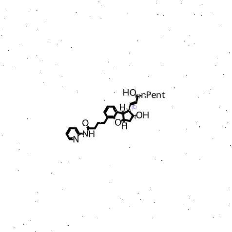 CCCCC[C@H](O)/C=C/[C@@H]1[C@H]2c3cccc(CCCC(=O)Nc4ccccn4)c3O[C@H]2C[C@H]1O